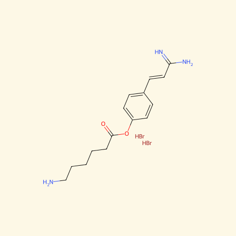 Br.Br.N=C(N)C=Cc1ccc(OC(=O)CCCCCN)cc1